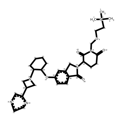 C[Si](C)(C)CCOCN1C(=O)CCC(N2Cc3cc(OC4CCCCC4N4CC(c5cnccn5)C4)ccc3C2=O)C1=O